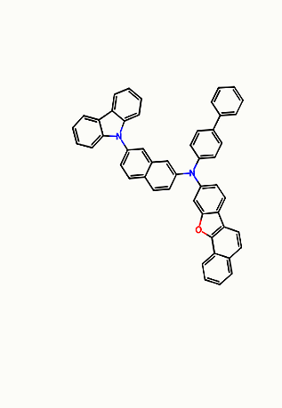 c1ccc(-c2ccc(N(c3ccc4ccc(-n5c6ccccc6c6ccccc65)cc4c3)c3ccc4c(c3)oc3c5ccccc5ccc43)cc2)cc1